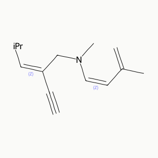 C#C/C(=C/C(C)C)CN(C)/C=C\C(=C)C